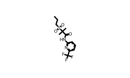 CCCS(=O)(=O)C(C)(C)C(=O)Nc1cccc(C(F)(F)F)n1